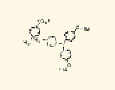 Cc1ccc(S(=O)(=O)O)cc1.Cc1ccc([S+](c2ccc(OC(C)(C)C)cc2)c2ccc(OC(C)(C)C)cc2)cc1